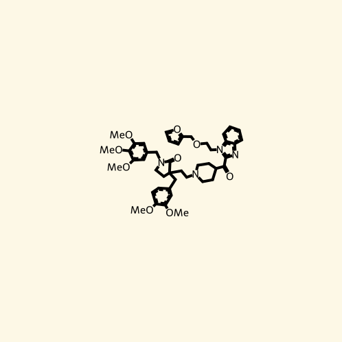 COc1ccc(CC2(CCN3CCC(C(=O)c4nc5ccccc5n4CCOCc4ccco4)CC3)CCN(Cc3cc(OC)c(OC)c(OC)c3)C2=O)cc1OC